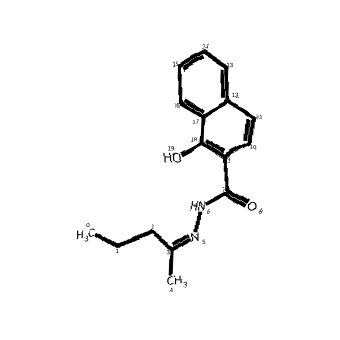 CCCC(C)=NNC(=O)c1ccc2ccccc2c1O